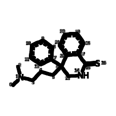 CN(C)CCCC1(c2ccccc2)CNC(=S)c2ccccc21